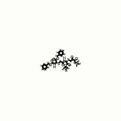 C[Si](C)(C)OC(=O)C(=O)CC[C@@H](NC(=O)CC[C@H](NC(=O)OCc1ccccc1)C(=O)OCc1ccccc1)C(=O)O[Si](C)(C)C